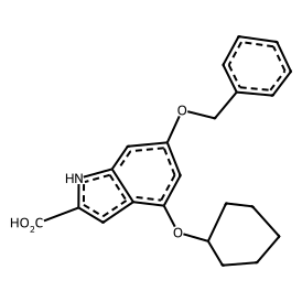 O=C(O)c1cc2c(OC3CCCCC3)cc(OCc3ccccc3)cc2[nH]1